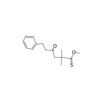 COC(=S)C(C)(C)CC(=O)CCc1ccccc1